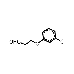 O=CCCOc1cccc(Cl)c1